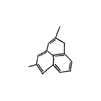 CC1=Cc2cc(C)cc3cccc(c23)C1